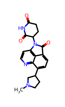 CN1CCC(c2ccc3c4c(ccnc24)N(C2CCC(=O)NC2=O)C3=O)C1